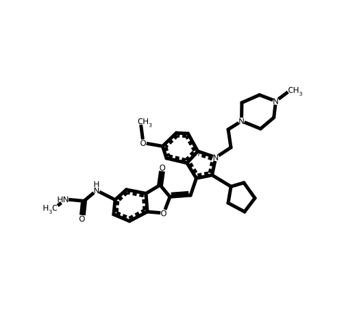 CNC(=O)Nc1ccc2c(c1)C(=O)C(=Cc1c(C3CCCC3)n(CCN3CCN(C)CC3)c3ccc(OC)cc13)O2